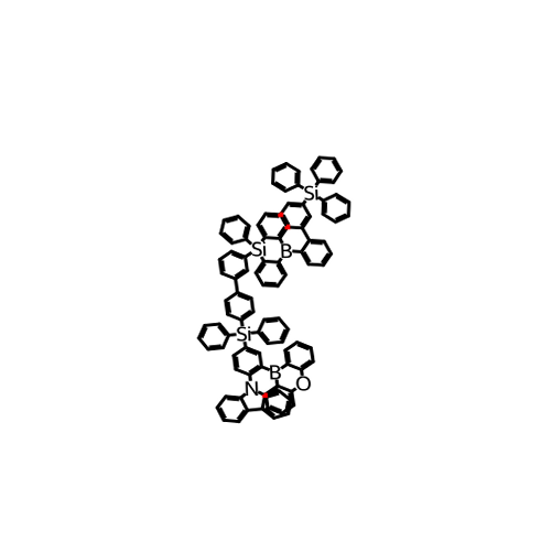 c1ccc([Si](c2ccccc2)(c2ccccc2)c2cccc(-c3ccccc3B3c4ccccc4[Si](c4ccccc4)(c4cccc(-c5ccc([Si](c6ccccc6)(c6ccccc6)c6ccc(-n7c8ccccc8c8ccccc87)c(B7c8ccccc8Oc8ccccc87)c6)cc5)c4)c4ccccc43)c2)cc1